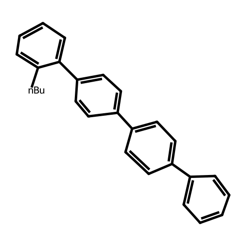 CCCCc1ccccc1-c1ccc(-c2ccc(-c3ccccc3)cc2)cc1